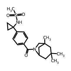 CC1(C)CC2CC(C)(CN2C(=O)c2ccc(C3(NS(C)(=O)=O)CC3)cc2)C1